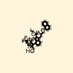 CCOC(=O)c1[nH]c2c(-c3c(CO)nn(CC(F)(F)F)c3C)cccc2c1CCCOc1cccc2ccccc12